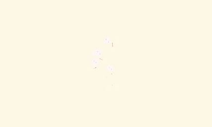 CCCN(C(=O)NCCN(C)C(=O)OC(C)(C)C)C(=O)[C@@H]1C[C@@H]2CC3(CC[C@H]2N(C)C1)OCCO3